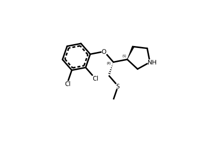 CSC[C@H](Oc1cccc(Cl)c1Cl)[C@H]1CCNC1